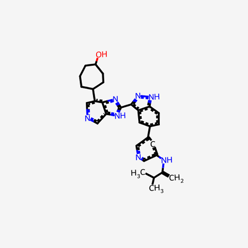 C=C(Nc1cncc(-c2ccc3[nH]nc(-c4nc5c(C6CCCC(O)CC6)cncc5[nH]4)c3c2)c1)C(C)C